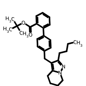 CCCCc1nn2c(c1Cc1ccc(-c3ccccc3C(=O)OC(C)(C)C)cc1)CCCC2